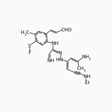 CCNC#C/C=C(\C=C(/C)N)N/N=C(\C=N)Nc1cc(SF)c(C)cc1/C=C/C=O